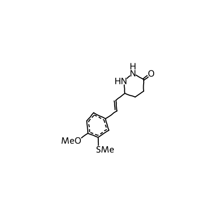 COc1ccc(/C=C/C2CCC(=O)NN2)cc1SC